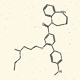 CCCN(C)CCCOc1cc(C(=O)N2CCCNc3ccccc32)ccc1C1C=CC(NC)=CC1